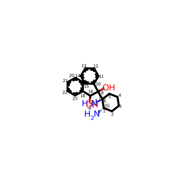 N[C@H]1CCCC[C@@]1(N)C(O)(c1ccccc1)C(O)c1ccccc1